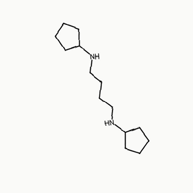 C(CCNC1CCCC1)CNC1CCCC1